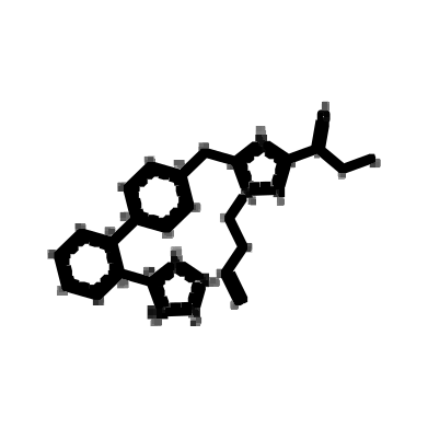 C=CCCn1nc(C(=O)CC)nc1Cc1ccc(-c2ccccc2-c2nnn[nH]2)cc1